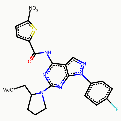 COCC1CCCN1c1nc(NC(=O)c2ccc([N+](=O)[O-])s2)c2cnn(-c3ccc(F)cc3)c2n1